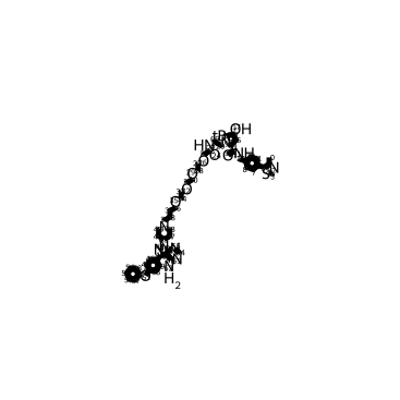 Cc1ncsc1-c1ccc(CNC(=O)[C@@H]2C[C@@H](O)CN2C[C@@H](NC(=O)COCCOCCOCCOCCCCN2CCC(n3nc(-c4ccc(Oc5ccccc5)cc4)c4c(N)ncnc43)CC2)C(C)(C)C)cc1